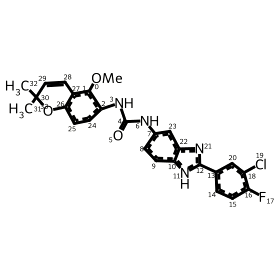 COc1c(NC(=O)Nc2ccc3[nH]c(-c4ccc(F)c(Cl)c4)nc3c2)ccc2c1C=CC(C)(C)O2